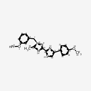 CCCOc1cccc(Cn2nc(-c3nc(-c4ccc(OC(F)(F)F)cc4)cs3)nc2C)c1